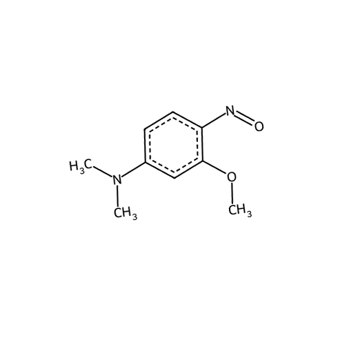 COc1cc(N(C)C)ccc1N=O